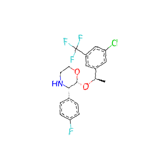 C[C@@H](O[C@H]1OCCN[C@H]1c1ccc(F)cc1)c1cc(Cl)cc(C(F)(F)F)c1